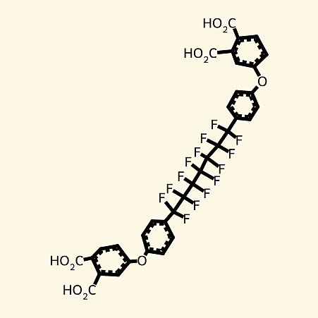 O=C(O)c1ccc(Oc2ccc(C(F)(F)C(F)(F)C(F)(F)C(F)(F)C(F)(F)C(F)(F)C(F)(F)c3ccc(Oc4ccc(C(=O)O)c(C(=O)O)c4)cc3)cc2)cc1C(=O)O